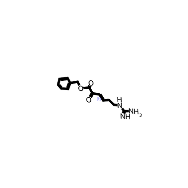 N=C(N)NCC/C=C/C(=O)C(=O)OCc1ccccc1